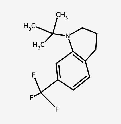 CC(C)(C)N1CCCc2ccc(C(F)(F)F)cc21